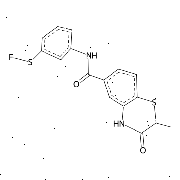 CC1Sc2ccc(C(=O)Nc3cccc(SF)c3)cc2NC1=O